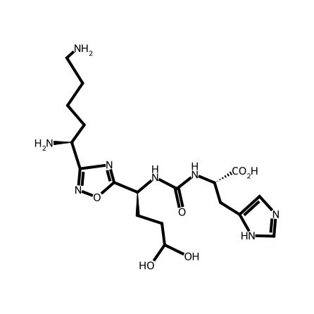 NCCCC[C@H](N)c1noc([C@H](CCC(O)O)NC(=O)N[C@@H](Cc2cnc[nH]2)C(=O)O)n1